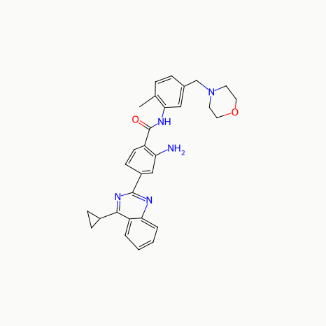 Cc1ccc(CN2CCOCC2)cc1NC(=O)c1ccc(-c2nc(C3CC3)c3ccccc3n2)cc1N